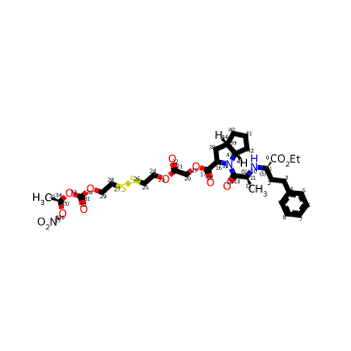 CCOC(=O)[C@H](CCc1ccccc1)N[C@@H](C)C(=O)N1C(C(=O)OCC(=O)OCCSSCCOC(=O)O[C@H](C)O[N+](=O)[O-])C[C@@H]2CCC[C@@H]21